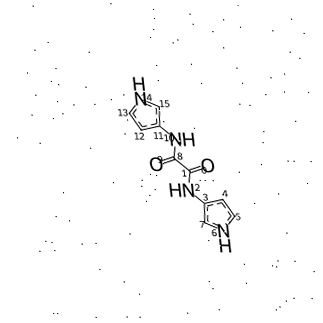 O=C(Nc1cc[nH]c1)C(=O)Nc1cc[nH]c1